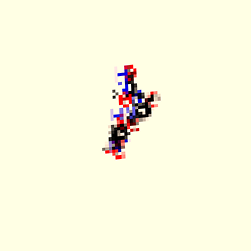 CNC(=O)C(CCC=O)N(C)Cc1c(C=O)cccc1NC(=O)Oc1ccc([N+](=O)[O-])cc1